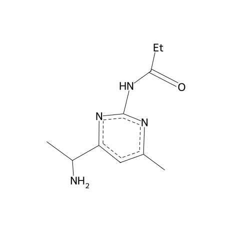 CCC(=O)Nc1nc(C)cc(C(C)N)n1